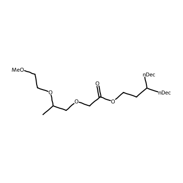 CCCCCCCCCCC(CCCCCCCCCC)CCOC(=O)COCC(C)OCCOC